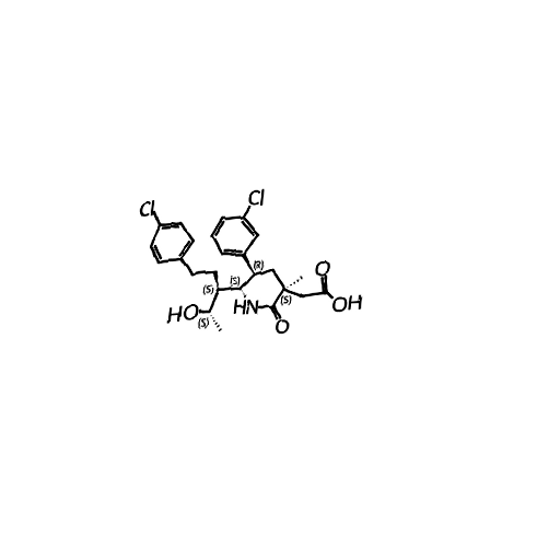 C[C@H](O)[C@@H](CCc1ccc(Cl)cc1)[C@H]1NC(=O)[C@](C)(CC(=O)O)C[C@@H]1c1cccc(Cl)c1